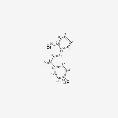 C=C(C=Cc1ccccc1Br)c1ccc(F)cc1